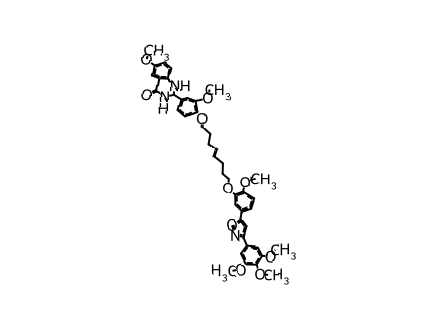 COc1ccc2c(c1)C(=O)NC(c1ccc(OCCCCCCCCOc3cc(-c4cc(-c5cc(OC)c(OC)c(OC)c5)no4)ccc3OC)c(OC)c1)N2